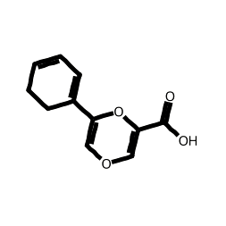 O=C(O)C1=COC=C(C2=CC=CCC2)O1